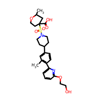 Cc1cc(C2CCN(S(=O)(=O)C3(C(=O)O)CCOC(C)C3)CC2)ccc1-c1cccc(OCCO)n1